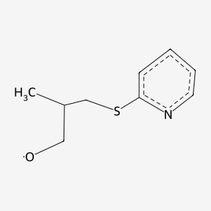 CC(C[O])CSc1ccccn1